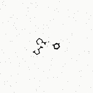 N=C(/N=N\Nc1cccc(Cl)c1)C1CCCCN1C(=O)C1CCC(=O)O1